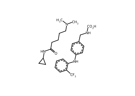 CN(C)CCCCC(=O)NC1CC1.O=C(O)NCc1ccc(Nc2ccccc2C(F)(F)F)cc1